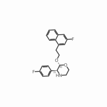 Fc1ccc([C@@H]2NCCO[C@H]2OCCc2cc(F)cc3ccccc23)cc1